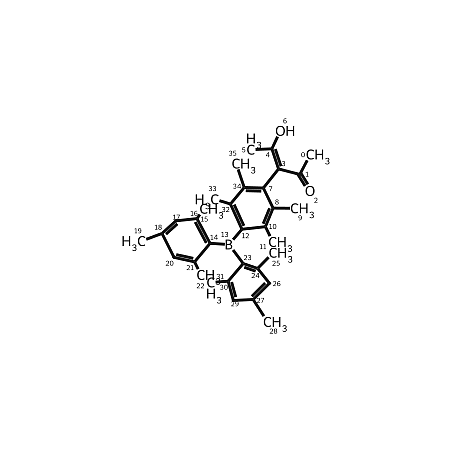 CC(=O)/C(=C(/C)O)c1c(C)c(C)c(B(c2c(C)cc(C)cc2C)c2c(C)cc(C)cc2C)c(C)c1C